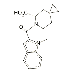 Cn1c(C(=O)N2CCC3(CC3)C[C@H]2C(=O)O)cc2ccccc21